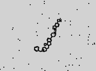 N#Cc1ccc2c(ccn2CN2CCC(c3ccc4c(c3)CC(CC3CCN(Cc5ccccc5)CC3)C4=O)CC2)c1